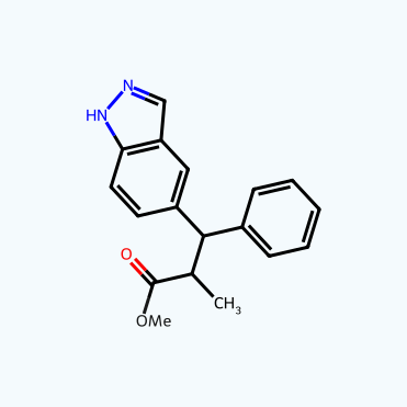 COC(=O)C(C)C(c1ccccc1)c1ccc2[nH]ncc2c1